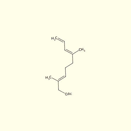 C=CC=C(C)CCC=C(C)COC(C)=O